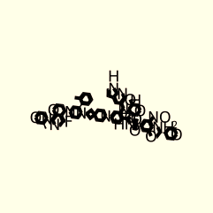 Cc1ccccc1[C@@H]1CN([C@@H]2CCOc3c(N4CCOC[C@@H]4C)ncc(F)c32)CCN1C1CC2(CCN(c3ccc(C(=O)NS(=O)(=O)c4cc5c(c([N+](=O)[O-])c4)N[C@H](C4CCOCC4)CO5)c(N4c5cc6cc[nH]c6nc5O[C@H]5COCC[C@@H]54)c3)CC2)C1